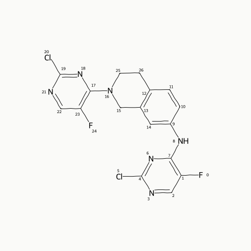 Fc1cnc(Cl)nc1Nc1ccc2c(c1)CN(c1nc(Cl)ncc1F)CC2